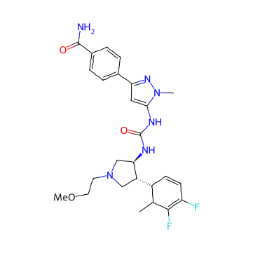 COCCN1C[C@@H](NC(=O)Nc2cc(-c3ccc(C(N)=O)cc3)nn2C)[C@H](C2C=CC(F)=C(F)C2C)C1